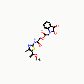 BOC(=C)c1sc(NC(=O)COC(=O)CN2C(=O)C(=O)c3ccccc32)nc1C